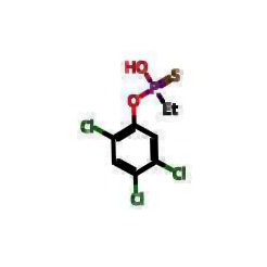 CCP(O)(=S)Oc1cc(Cl)c(Cl)cc1Cl